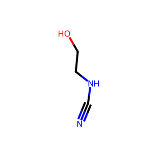 N#CNCCO